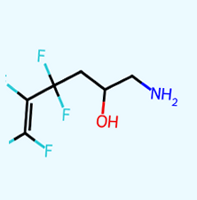 NCC(O)CC(F)(F)C(F)=C(F)F